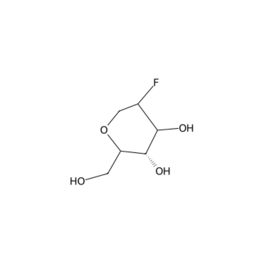 OCC1OCC(F)C(O)[C@@H]1O